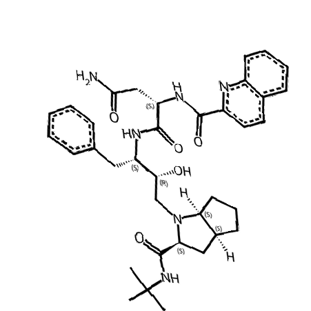 CC(C)(C)NC(=O)[C@@H]1C[C@@H]2CCC[C@@H]2N1C[C@@H](O)[C@H](Cc1ccccc1)NC(=O)[C@H](CC(N)=O)NC(=O)c1ccc2ccccc2n1